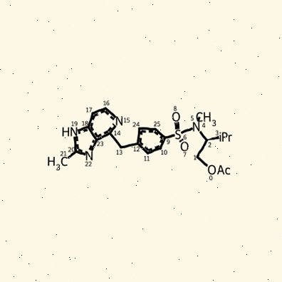 CC(=O)OC[C@H](C(C)C)N(C)S(=O)(=O)c1ccc(Cc2nccc3[nH]c(C)nc23)cc1